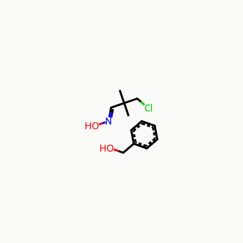 CC(C)(C=NO)CCl.OCc1ccccc1